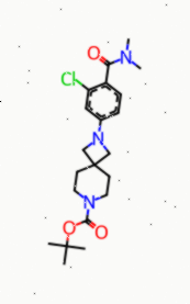 CN(C)C(=O)c1ccc(N2CC3(CCN(C(=O)OC(C)(C)C)CC3)C2)cc1Cl